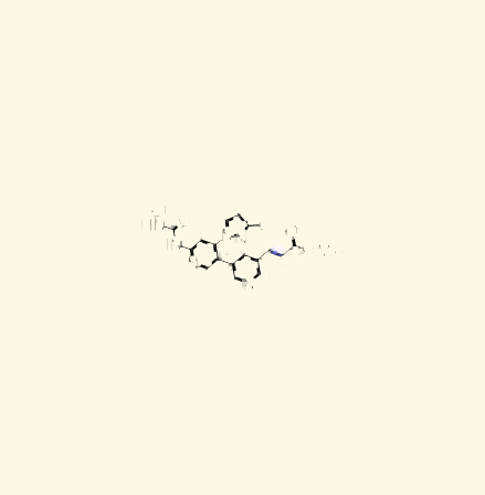 CCNC(=O)Nc1cc(-n2ccc(C(F)(F)F)n2)c(-c2cncc(/C=C/C(=O)OC)c2)cn1